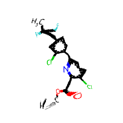 COC(=O)c1nc(-c2ccc(C(C)(F)F)cc2Cl)ccc1Cl